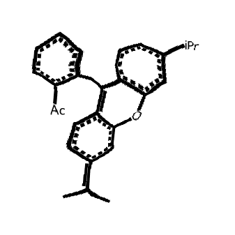 CC(=O)c1ccccc1C1=c2ccc(=C(C)C)cc2Oc2cc(C(C)C)ccc21